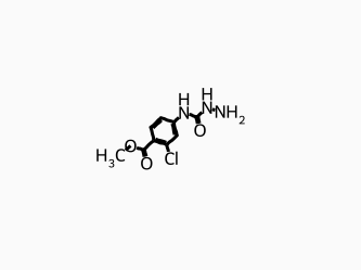 COC(=O)c1ccc(NC(=O)NN)cc1Cl